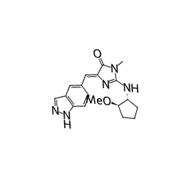 CO[C@@H]1CCC[C@H]1NC1=N/C(=C\c2ccc3[nH]ncc3c2)C(=O)N1C